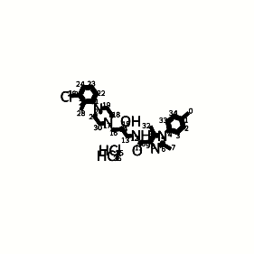 Cc1ccc(-n2c(C)nc(C(=O)NCC(O)CN3CCN(c4cccc(Cl)c4C)CC3)c2C)cc1.Cl.Cl